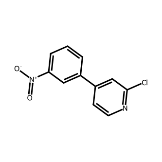 O=[N+]([O-])c1cccc(-c2ccnc(Cl)c2)c1